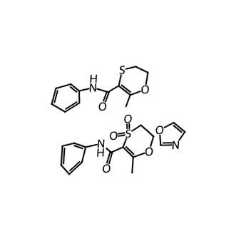 CC1=C(C(=O)Nc2ccccc2)S(=O)(=O)CCO1.CC1=C(C(=O)Nc2ccccc2)SCCO1.c1cocn1